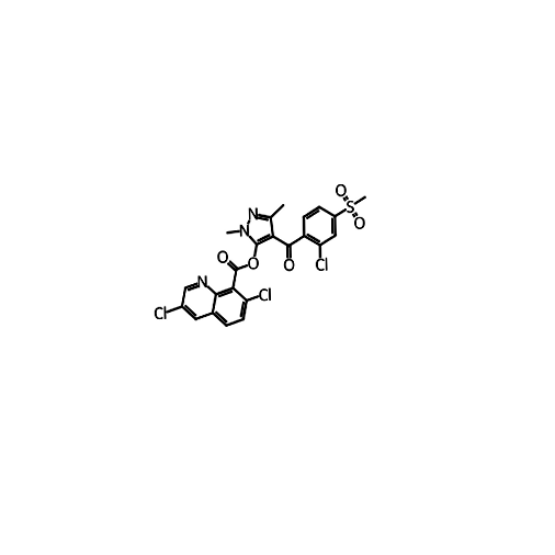 Cc1nn(C)c(OC(=O)c2c(Cl)ccc3cc(Cl)cnc23)c1C(=O)c1ccc(S(C)(=O)=O)cc1Cl